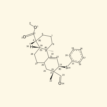 COC(=O)[C@]1(C)CCC[C@@]2(C)C3=C[C@@H](Sc4ccccc4)[C@](C)(C=O)CC3CC[C@H]12